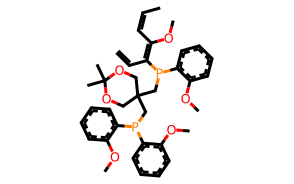 C=C/C(=C(\C=C/C)OC)P(CC1(CP(c2ccccc2OC)c2ccccc2OC)COC(C)(C)OC1)c1ccccc1OC